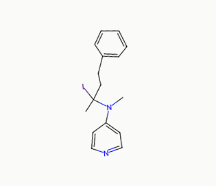 CN(c1ccncc1)C(C)(I)CCc1ccccc1